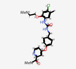 CNCCOc1cc(Cl)c(C)cc1NC(=O)NCc1ccc(Oc2ccnc(C(=O)NC)c2)cc1